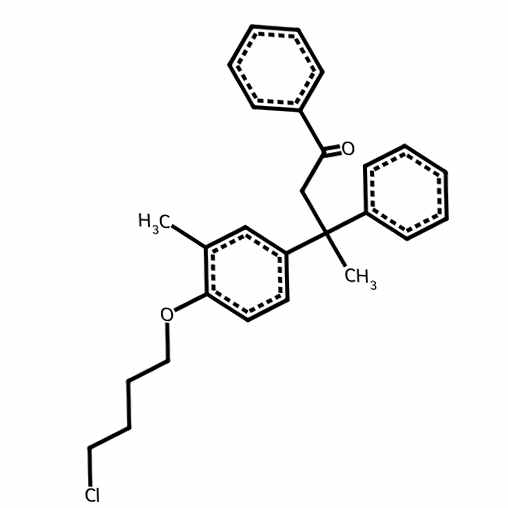 Cc1cc(C(C)(CC(=O)c2ccccc2)c2ccccc2)ccc1OCCCCCl